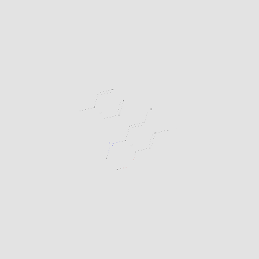 CCCc1cc2c(c(-c3cccc(C)c3)c1CCC)NCCO2